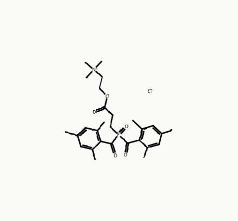 Cc1cc(C)c(C(=O)P(=O)(CCC(=O)OCC[N+](C)(C)C)C(=O)c2c(C)cc(C)cc2C)c(C)c1.[Cl-]